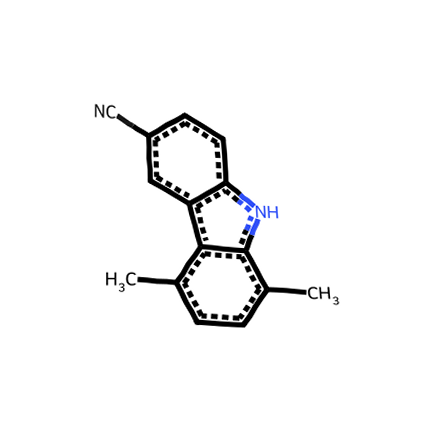 Cc1ccc(C)c2c1[nH]c1ccc(C#N)cc12